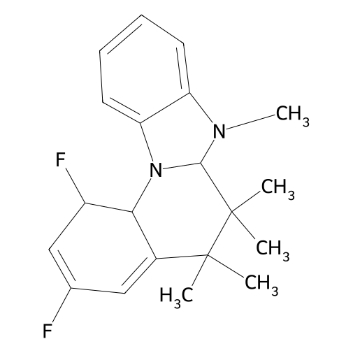 CN1c2ccccc2N2C3C(=CC(F)=CC3F)C(C)(C)C(C)(C)C12